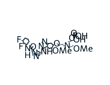 COCCN(CCCOc1cc2ncnc(Nc3cnn(CC(=O)Nc4cccc(F)c4F)c3)c2cc1OC)CCOP(=O)(O)O